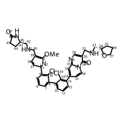 COc1nc(-c2cccc(-c3cccc(-c4ccn5c(=O)c(CNC[C@@H]6CCCO6)cnc5c4)c3Cl)c2Cl)ccc1CNC[C@H]1CCC(=O)N1